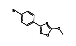 COc1nc(-c2ccc(Br)cc2)co1